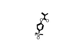 C=C(C)C(=O)Oc1ccc([SH](C)(C)=O)cc1